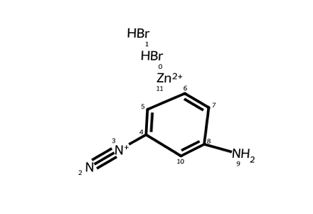 Br.Br.N#[N+]c1cccc(N)c1.[Zn+2]